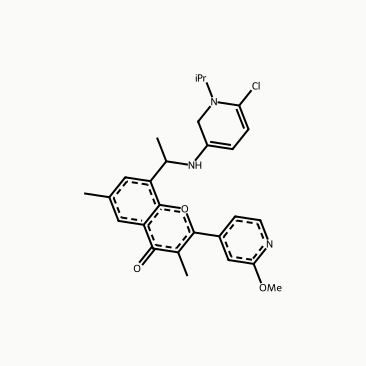 COc1cc(-c2oc3c(C(C)NC4=CC=C(Cl)N(C(C)C)C4)cc(C)cc3c(=O)c2C)ccn1